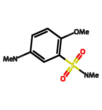 CNc1ccc(OC)c(S(=O)(=O)NC)c1